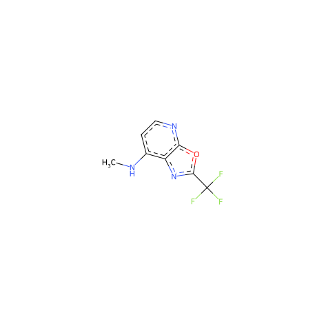 CNc1ccnc2oc(C(F)(F)F)nc12